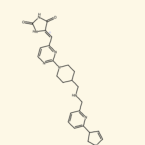 O=C1NC(=O)/C(=C/c2ccnc(N3CCC(CNCc4cccc(C5C=CSC5)n4)CC3)n2)N1